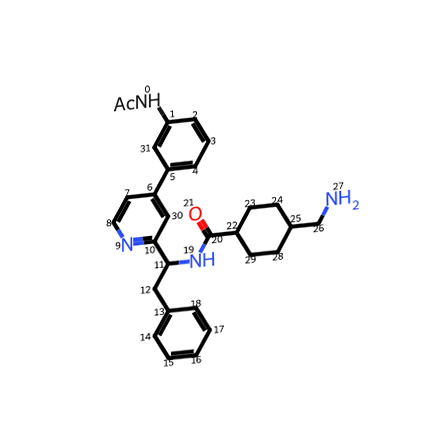 CC(=O)Nc1cccc(-c2ccnc(C(Cc3ccccc3)NC(=O)C3CCC(CN)CC3)c2)c1